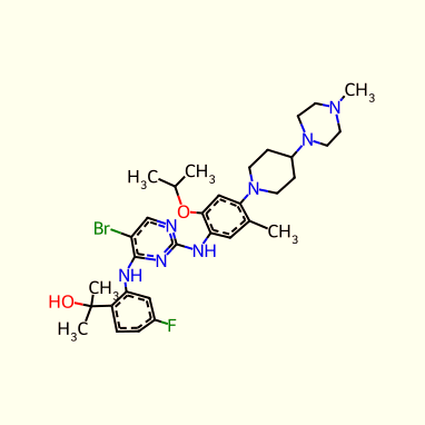 Cc1cc(Nc2ncc(Br)c(Nc3cc(F)ccc3C(C)(C)O)n2)c(OC(C)C)cc1N1CCC(N2CCN(C)CC2)CC1